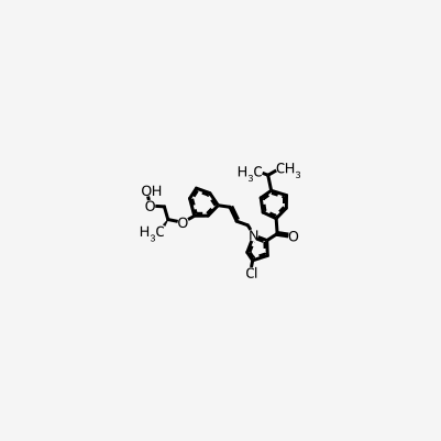 CC(C)c1ccc(C(=O)c2cc(Cl)cn2C/C=C/c2cccc(O[C@@H](C)COO)c2)cc1